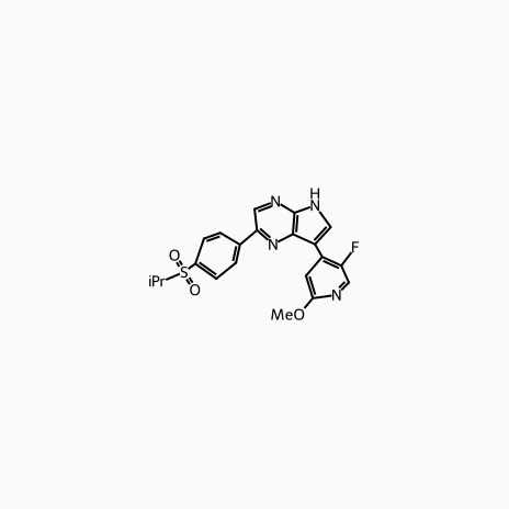 COc1cc(-c2c[nH]c3ncc(-c4ccc(S(=O)(=O)C(C)C)cc4)nc23)c(F)cn1